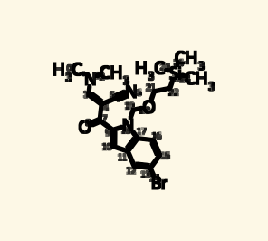 CN(C)C=C(C#N)C(=O)c1cc2cc(Br)ccc2n1COCC[Si](C)(C)C